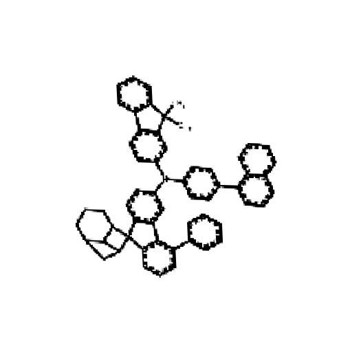 CC1(C)c2ccccc2-c2ccc(N(c3ccc(-c4cccc5ccccc45)cc3)c3ccc4c(c3)-c3c(-c5ccccc5)cccc3C43C4CCCC5CC3C54)cc21